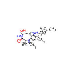 C=CC(C)(CCC=C(C)C)c1ccc2c3c(c[nH]c13)CC(CO)NC(=O)C(C(C)C)N2C